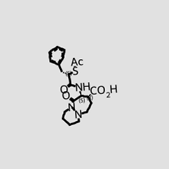 CC(=O)S[C@@H](Cc1ccccc1)C(=O)N[C@@H]1C(=O)N2CCCCN2CC[C@H]1C(=O)O